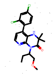 CCC(COC)N1C(=O)C(C)(C)Nc2c(-c3ccc(Cl)cc3Cl)ccnc21